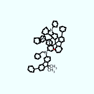 CC1(C)c2ccc(-c3ccccc3)cc2-c2cc(N(Cc3ccccc3)c3ccc4c(c3)N(c3ccccc3)c3c(ccc5c3c3c(N(c6ccccc6)c6ccccc6)cccc3n5-c3ccccc3)C43c4ccccc4-c4ccc(-c5ccccc5)cc43)ccc21